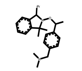 CC(ON1C(C(C)C)c2ccccc2C1(C)C)c1ccc(CN(C)C)cc1